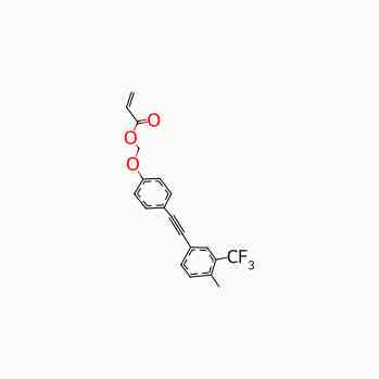 C=CC(=O)OCOc1ccc(C#Cc2ccc(C)c(C(F)(F)F)c2)cc1